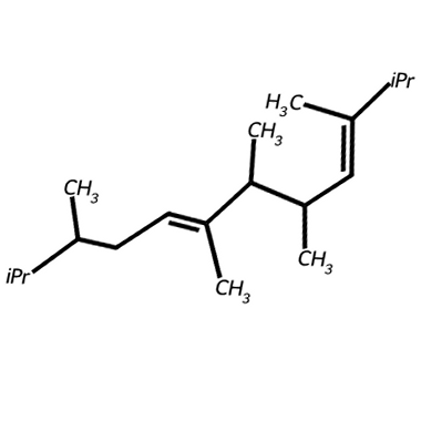 C/C(=C\C(C)C(C)/C(C)=C/CC(C)C(C)C)C(C)C